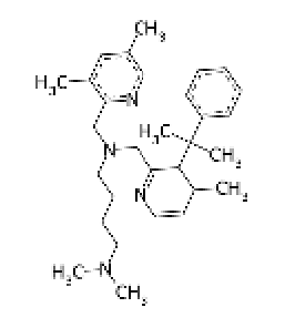 Cc1cnc(CN(CCCCN(C)C)CC2=NC=CC(C)C2C(C)(C)c2ccccc2)c(C)c1